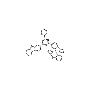 c1ccc(-c2cc(-c3ccc4c(c3)sc3ccccc34)nc(-c3ccc4c(c3)C3(c5ccccc5Sc5ccccc53)c3ccccc3-4)n2)cc1